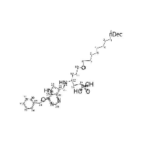 CCCCCCCCCCCCCCCCCCOCCCC(CCP(=O)(O)O)NCc1c[nH]c2c(OCc3ccccc3)ncnc12